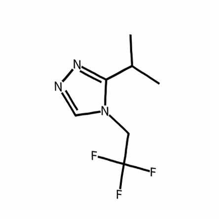 CC(C)c1nncn1CC(F)(F)F